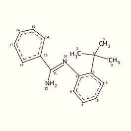 CC(C)(C)c1ccccc1N=C(N)c1ccccc1